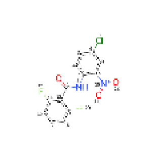 O=C(Nc1ccc(Cl)cc1[N+](=O)[O-])c1c(F)cccc1F